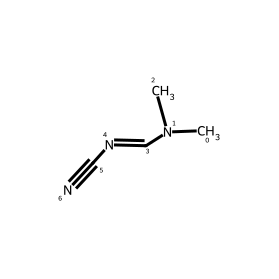 CN(C)/C=N/C#N